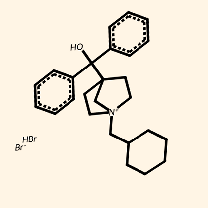 Br.OC(c1ccccc1)(c1ccccc1)C12CC[N+](CC3CCCCC3)(CC1)C2.[Br-]